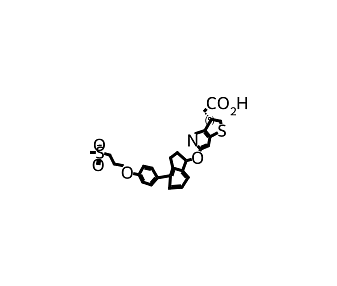 CS(=O)(=O)CCCOc1ccc(-c2cccc3c2CCC3Oc2cc3c(cn2)[C@H](CC(=O)O)CS3)cc1